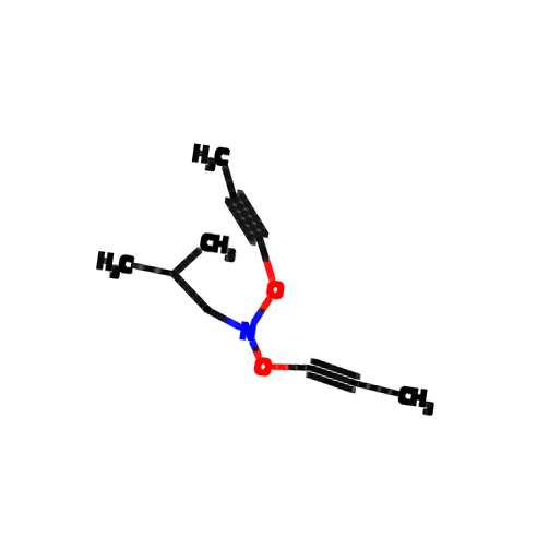 CC#CON(CC(C)C)OC#CC